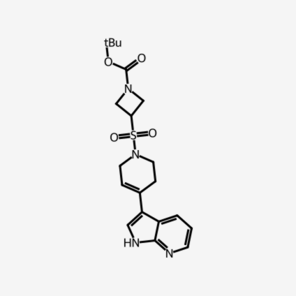 CC(C)(C)OC(=O)N1CC(S(=O)(=O)N2CC=C(c3c[nH]c4ncccc34)CC2)C1